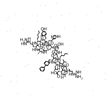 CCCCC[C@H](NC(=O)[C@H](CCCNC(=N)N)NC(=O)[C@H](C)NC(=O)CSC[C@H](NC(=O)[C@H](CC(=O)O)NC(=O)[C@H](CCCCC)NC(=O)[C@H](Cc1ccc(-c2ccccc2)cc1)NC(=O)[C@H](CC(C)C)NC(=O)[C@@H](NC(=O)[C@H](CCCNC(=N)N)NC(=O)[C@H](CC(=O)O)NC(C)=O)C(C)C)C(N)=O)C(=O)N[C@@H](Cc1ccc(O)cc1)C(=O)NCCc1c[nH]cn1